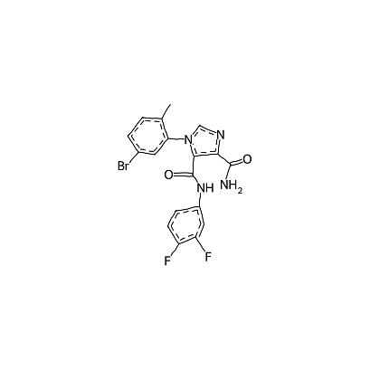 Cc1ccc(Br)cc1-n1cnc(C(N)=O)c1C(=O)Nc1ccc(F)c(F)c1